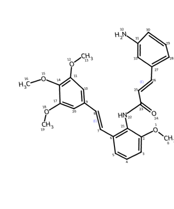 COc1cccc(/C=C/c2cc(OC)c(OC)c(OC)c2)c1NC(=O)/C=C/c1cccc(N)c1